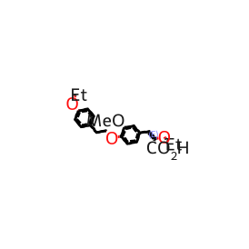 CCO/C(=C/c1ccc(OCCc2ccc(OCC)cc2)c(OC)c1)C(=O)O